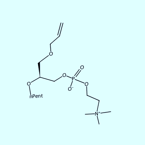 C=CCOC[C@@H](COP(=O)([O-])OCC[N+](C)(C)C)OCCCCC